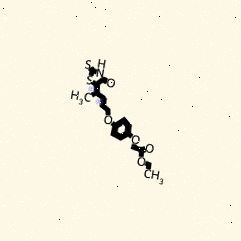 CCOC(=O)COc1ccc(OC/C=C/C(C)=C2/SC(=S)NC2=O)cc1